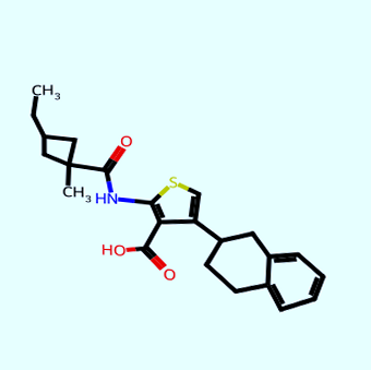 CCC1CC(C)(C(=O)Nc2scc(C3CCc4ccccc4C3)c2C(=O)O)C1